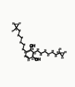 CC1(CCCCCCc2ccc(O)c(CCCCCCC3(C)CC3)c2O)CC1